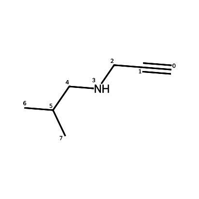 C#CCNCC(C)C